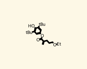 C=C(CCCOCC)C(=O)Oc1cc(C(C)(C)C)c(O)c(C(C)(C)C)c1